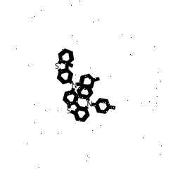 CC1C=CC(N(c2ccc3c(c2)C2(C)C=CC=CC2S3)c2ccc3sc4cccc(N(C5=CCC(C)C=C5)c5ccccc5)c4c3c2)=CC1